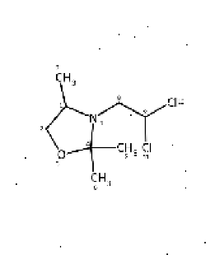 CC1COC(C)(C)N1CC(Cl)Cl